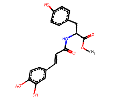 COC(=O)[C@H](Cc1ccc(O)cc1)NC(=O)C=Cc1ccc(O)c(O)c1